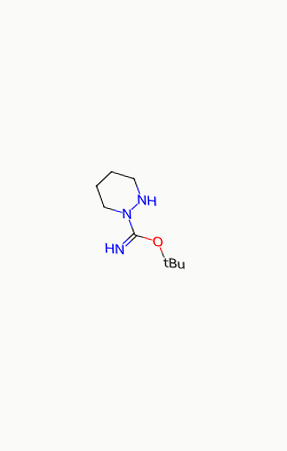 CC(C)(C)OC(=N)N1CCCCN1